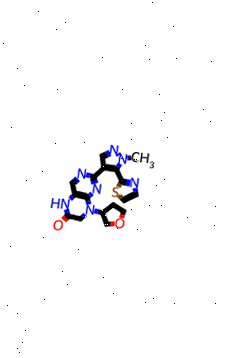 Cn1ncc(-c2ncc3c(n2)N(C2CCOC2)CC(=O)N3)c1-c1nccs1